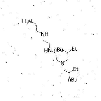 CCCCC(CC)CN(CCNCCNCCN)CC(CC)CCCC